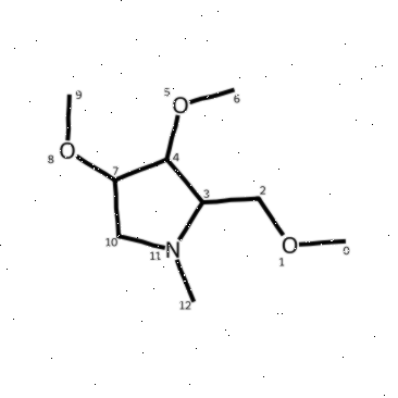 COCC1C(OC)C(OC)CN1C